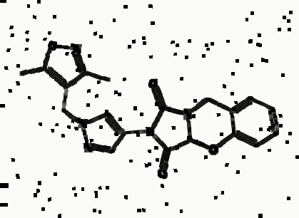 Cc1noc(C)c1Cn1cc(N2C(=O)C3Oc4ccccc4CN3C2=O)cn1